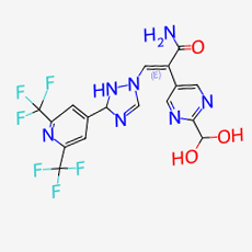 NC(=O)/C(=C/N1C=NC(c2cc(C(F)(F)F)nc(C(F)(F)F)c2)N1)c1cnc(C(O)O)nc1